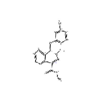 CO/N=C(/C(=O)OC)c1ccccc1COc1cccc(O)c1